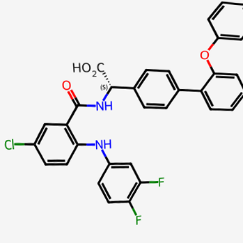 O=C(N[C@H](C(=O)O)c1ccc(-c2ccccc2Oc2ccccc2)cc1)c1cc(Cl)ccc1Nc1ccc(F)c(F)c1